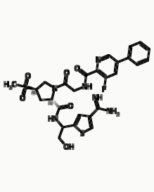 CS(=O)(=O)[C@@H]1C[C@@H](C(=O)NC(CO)c2cc(C(=N)N)cs2)N(C(=O)CNC(=O)c2ncc(-c3ccccc3)cc2F)C1